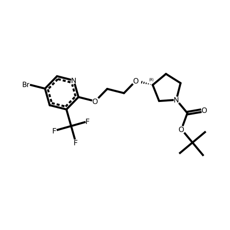 CC(C)(C)OC(=O)N1CC[C@@H](OCCOc2ncc(Br)cc2C(F)(F)F)C1